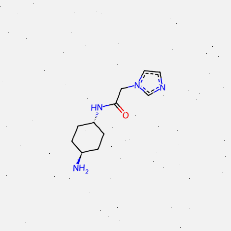 N[C@H]1CC[C@H](NC(=O)Cn2ccnc2)CC1